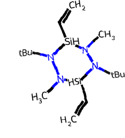 C=C[SiH]1N(C)N(C(C)(C)C)[SiH](C=C)N(C)N1C(C)(C)C